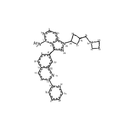 Nc1ncnc2c1c(-c1ccc3ccc(-c4ccccn4)nc3c1)nn2C1CC(CN2CCC2)C1